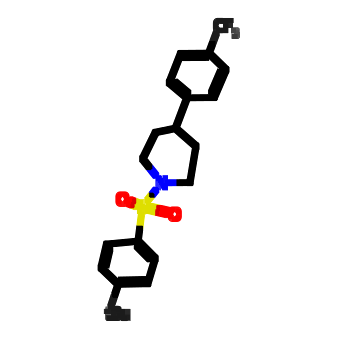 CC(C)(C)c1ccc(S(=O)(=O)N2CCC(c3ccc(C(F)(F)F)cc3)CC2)cc1